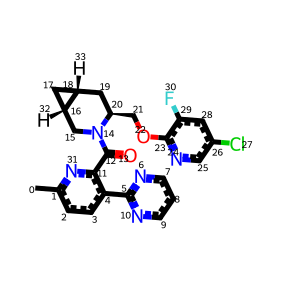 Cc1ccc(-c2ncccn2)c(C(=O)N2C[C@@H]3C[C@@H]3C[C@H]2COc2ncc(Cl)cc2F)n1